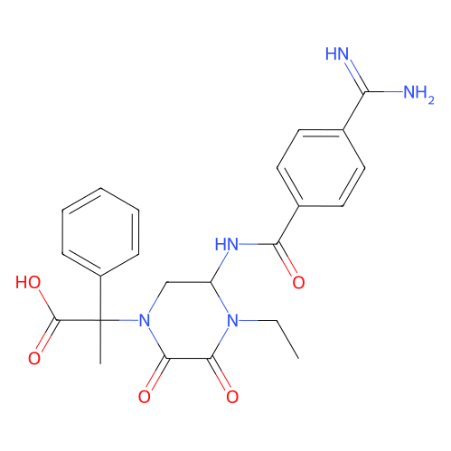 CCN1C(=O)C(=O)N(C(C)(C(=O)O)c2ccccc2)CC1NC(=O)c1ccc(C(=N)N)cc1